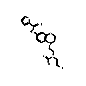 N=C(Nc1ccc2c(c1)SCCN2CCN(CCO)C(=O)O)c1cccs1